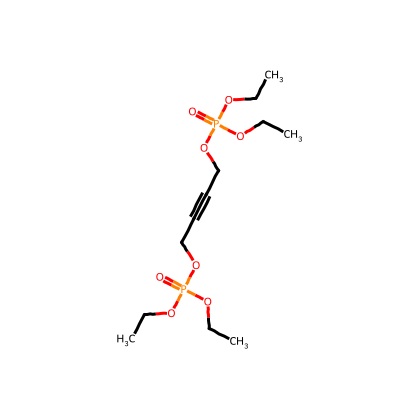 CCOP(=O)(OCC)OCC#CCOP(=O)(OCC)OCC